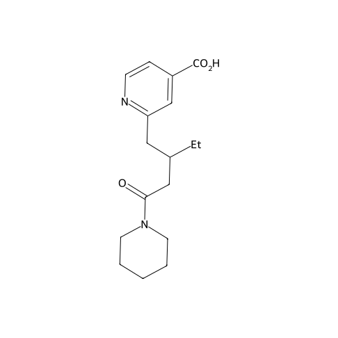 CCC(CC(=O)N1CCCCC1)Cc1cc(C(=O)O)ccn1